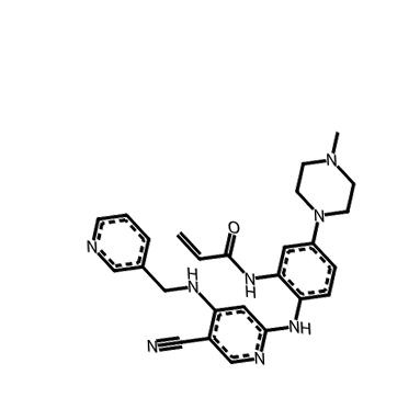 C=CC(=O)Nc1cc(N2CCN(C)CC2)ccc1Nc1cc(NCc2cccnc2)c(C#N)cn1